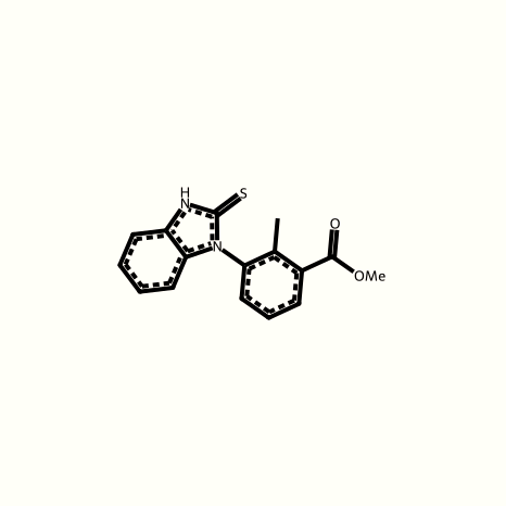 COC(=O)c1cccc(-n2c(=S)[nH]c3ccccc32)c1C